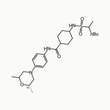 CCCCC(C)S(=O)(=O)NC1CCC(C(=O)Nc2ccc(N3CC(C)O[C@@H](C)C3)cc2)CC1